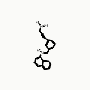 CCN(CC)CC#Cc1cccc(CN(CC)c2cccc3ccccc23)c1